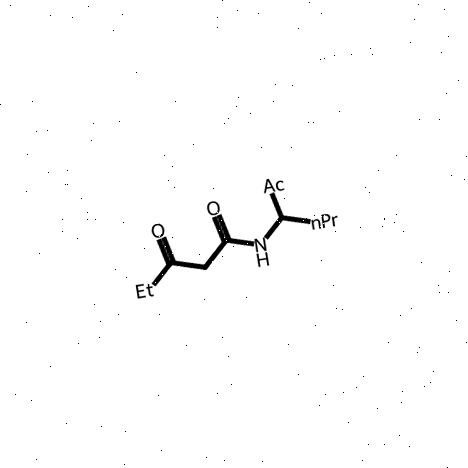 CCCC(NC(=O)CC(=O)CC)C(C)=O